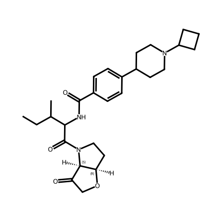 CCC(C)C(NC(=O)c1ccc(C2CCN(C3CCC3)CC2)cc1)C(=O)N1CC[C@H]2OCC(=O)[C@H]21